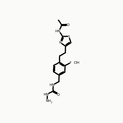 CC(=O)Nc1nc(CCc2ccc(CNC(=O)NN)cc2F)cs1.Cl